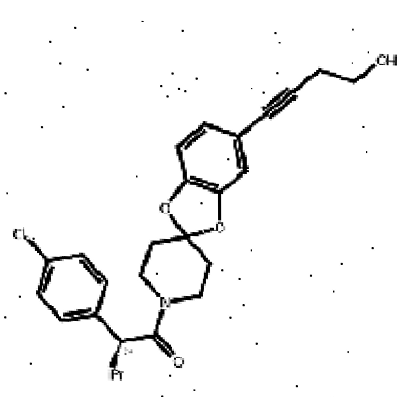 CC(C)[C@H](C(=O)N1CCC2(CC1)Oc1ccc(C#CCCO)cc1O2)c1ccc(Cl)cc1